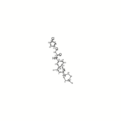 Cc1cc(N2CCN(C)CC2)nc2ccc(NC(=O)COc3ccc(Cl)s3)cc12